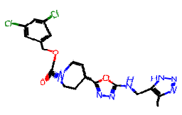 Cc1nn[nH]c1CNc1nnc(C2CCN(C(=O)OCc3cc(Cl)cc(Cl)c3)CC2)o1